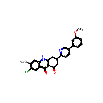 COc1cc2[nH]c3c(c(=O)c2cc1Cl)C(=O)CC(c1ccc(-c2cccc(OC(F)(F)F)c2)cn1)C3